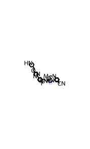 CNc1ccc(C#N)cc1N/C=C\C(=O)NCc1cc(-c2ncc(OCC3CCNCC3)cn2)ccc1F